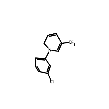 FC(F)(F)C1=CN(c2cccc(Cl)c2)CC=C1